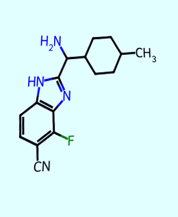 CC1CCC(C(N)c2nc3c(F)c(C#N)ccc3[nH]2)CC1